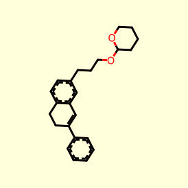 C1=C(c2ccccc2)CCc2ccc(CCCOC3CCCCO3)cc21